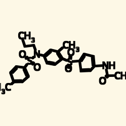 CCCN(c1ccc(S(=O)(=O)c2ccc(NC(C)=O)cc2)c(C)c1)S(=O)(=O)c1ccc(C)cc1